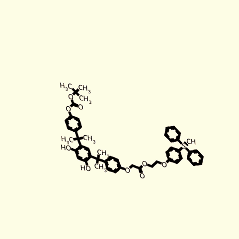 C#S(c1ccccc1)(c1ccccc1)c1ccc(OCCOC(=O)COc2ccc(C(C)(C)c3cc(C(C)(C)c4ccc(OC(=O)OC(C)(C)C)cc4)c(O)cc3O)cc2)cc1